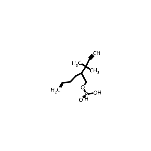 C#CC(C)(C)C(CCC=C)CO[PH](=O)O